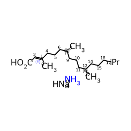 C/C(=C\C(=O)O)CCC[C@H](C)CCC[C@H](C)CCCC(C)C.N.[NaH]